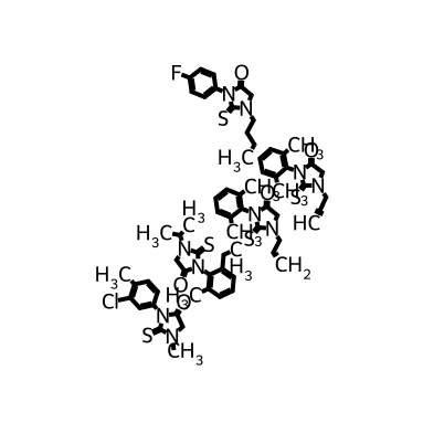 C#CCN1CC(=O)N(c2c(C)cccc2C)C1=S.C=CCN1CC(=O)N(c2c(C)cccc2C)C1=S.CCCCN1CC(=O)N(c2ccc(F)cc2)C1=S.CCc1cccc(C)c1N1C(=O)CN(C(C)C)C1=S.Cc1ccc(N2C(=O)CN(C)C2=S)cc1Cl